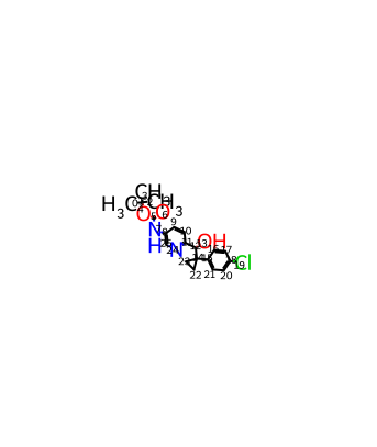 CC(C)(C)OC(=O)Nc1ccc(C(O)C2(c3ccc(Cl)cc3)CC2)nc1